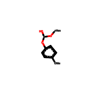 CCCCCCOB(O)Oc1ccc(OC)cc1